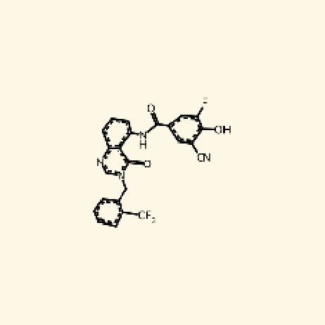 N#Cc1cc(C(=O)Nc2cccc3ncn(Cc4ccccc4C(F)(F)F)c(=O)c23)cc(F)c1O